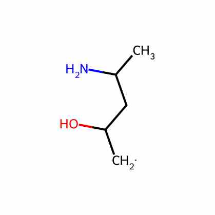 [CH2]C(O)CC(C)N